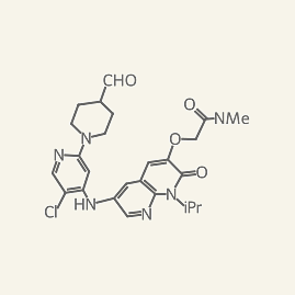 CNC(=O)COc1cc2cc(Nc3cc(N4CCC(C=O)CC4)ncc3Cl)cnc2n(C(C)C)c1=O